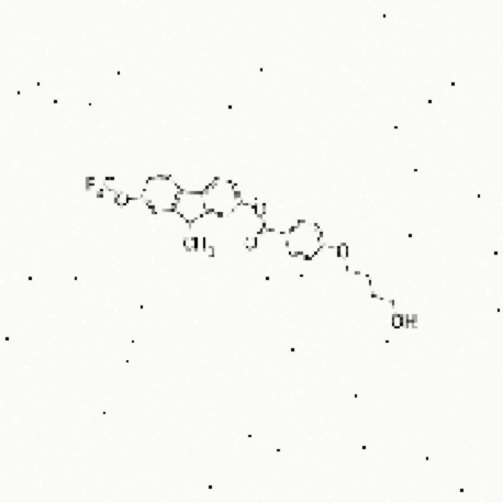 CC1c2cc(OC(=O)c3ccc(OCCCCO)cc3)ccc2-c2ccc(OC(F)(F)F)cc21